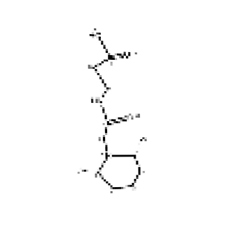 C[C@@H]1CCC[C@H](C)N1CC(=O)NCCC(=O)O